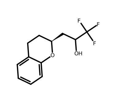 OC(C[C@@H]1CCc2ccccc2O1)C(F)(F)F